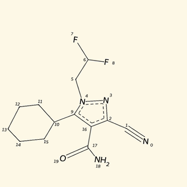 N#Cc1nn(CC(F)F)c(C2CCCCC2)c1C(N)=O